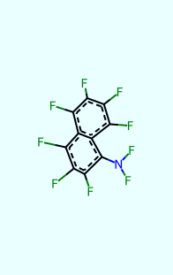 Fc1c(F)c(F)c2c(N(F)F)c(F)c(F)c(F)c2c1F